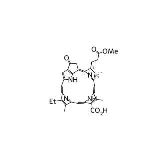 CCC1=C(C)c2cc3[nH]c(cc4nc(c5c6[nH]c(cc1n2)cc6C(=O)C5)[C@@H](CCC(=O)OC)[C@@H]4C)c(C)c3C(=O)O